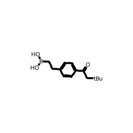 CC(C)(C)CC(=O)c1ccc(CCB(O)O)cc1